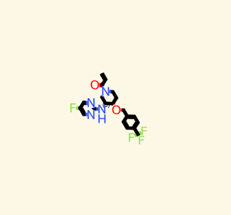 C=CC(=O)N1CCC(OCc2ccc(C(F)(F)F)cc2)[C@@H](Nc2ncc(F)cn2)C1